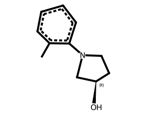 Cc1ccccc1N1CC[C@@H](O)C1